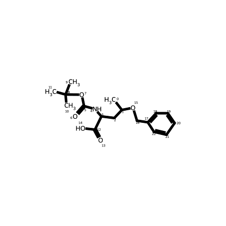 CC(CC(NC(=O)OC(C)(C)C)C(=O)O)OCc1ccccc1